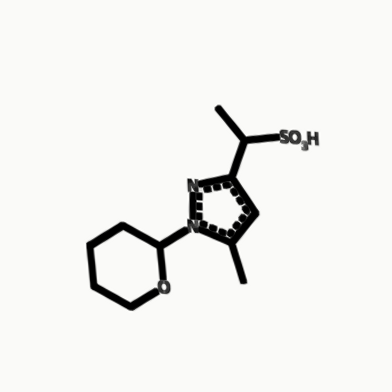 Cc1cc(C(C)S(=O)(=O)O)nn1C1CCCCO1